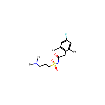 CCN(CC)CCCS(=O)(=O)NC(=O)Cc1c(C(C)C)cc(F)cc1C(C)C